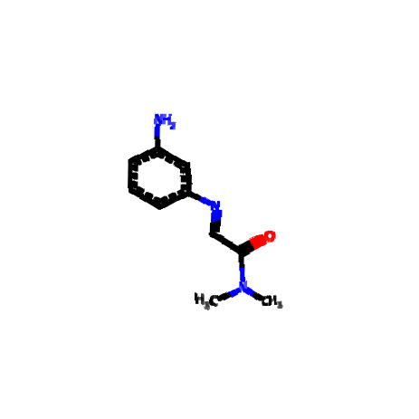 CN(C)C(=O)C=Nc1cccc(N)c1